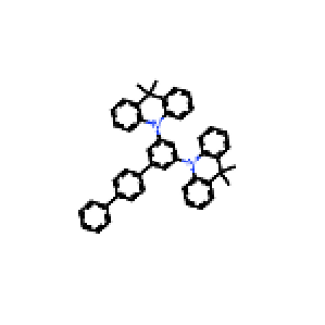 CC1(C)c2ccccc2N(c2cc(-c3ccc(-c4ccccc4)cc3)cc(N3c4ccccc4C(C)(C)c4ccccc43)c2)c2ccccc21